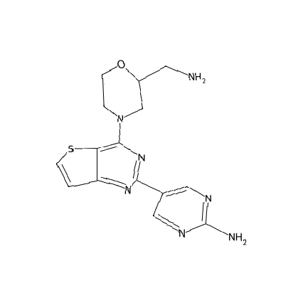 NCC1CN(c2nc(-c3cnc(N)nc3)nc3ccsc23)CCO1